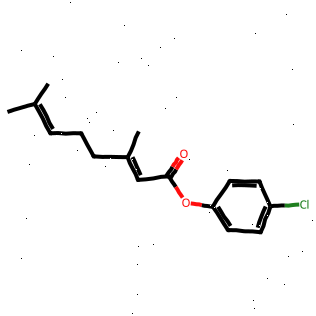 CC(C)=CCC/C(C)=C/C(=O)Oc1ccc(Cl)cc1